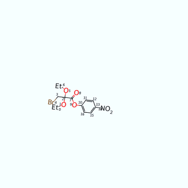 CCOC(CBr)(OCC)C(=O)Oc1ccc([N+](=O)[O-])cc1